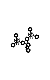 c1ccc(-c2nc(-c3ccccc3)nc(-c3ccc(-c4c(-c5cccc(-c6nc(-c7ccccc7)nc(-c7ccccc7)n6)c5)ccc5c4sc4ccccc45)cc3)n2)cc1